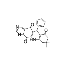 CC1(C)CC(=O)C2=C(C1)NC1=C(C(=O)c3cncnc3C1=O)C2c1ccccc1